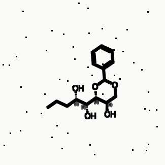 CCC[C@H](O)[C@@H](O)[C@@H]1OC(c2ccccc2)OC[C@H]1O